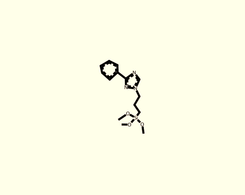 CO[Si](CCCn1cnc(-c2ccccc2)n1)(OC)OC